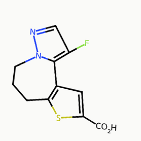 O=C(O)c1cc2c(s1)CCCn1ncc(F)c1-2